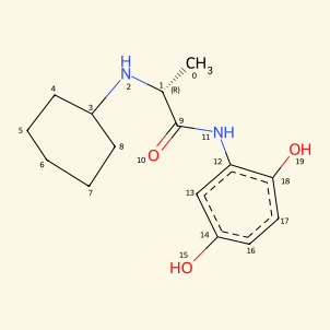 C[C@@H](NC1CCCCC1)C(=O)Nc1cc(O)ccc1O